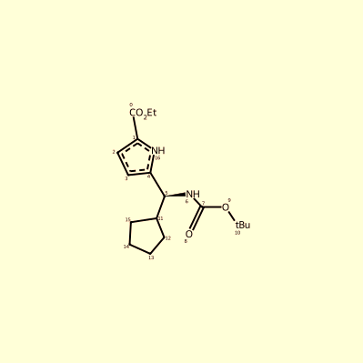 CCOC(=O)c1ccc([C@@H](NC(=O)OC(C)(C)C)C2CCCC2)[nH]1